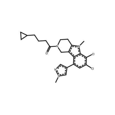 Cn1cc(-c2cc(Cl)c(Cl)c3c2c2c(n3C)CCN(C(=O)CCCC3CC3)C2)cn1